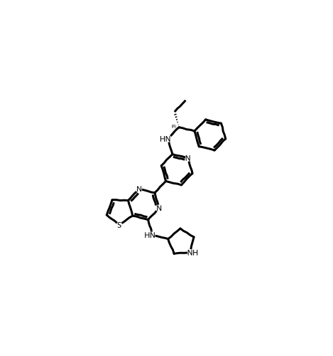 CC[C@@H](Nc1cc(-c2nc(NC3CCNC3)c3sccc3n2)ccn1)c1ccccc1